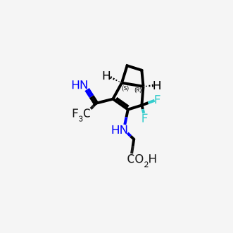 N=C(C1=C(NCC(=O)O)C(F)(F)[C@@H]2CC[C@H]12)C(F)(F)F